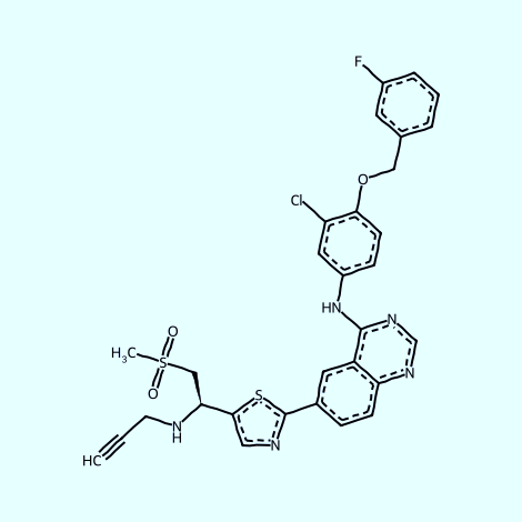 C#CCN[C@@H](CS(C)(=O)=O)c1cnc(-c2ccc3ncnc(Nc4ccc(OCc5cccc(F)c5)c(Cl)c4)c3c2)s1